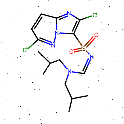 CC(C)CN(/C=N\S(=O)(=O)c1c(Cl)nc2ccc(Cl)nn12)CC(C)C